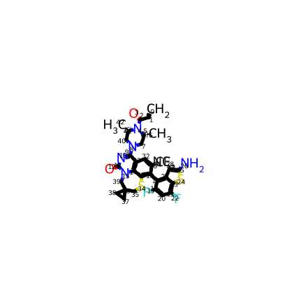 C=CC(=O)N1[C@H](C)CN(c2nc(=O)n3c4c(c(-c5c(F)cc(F)c6sc(N)c(C#N)c56)c(C(F)(F)F)cc24)SCC2(CC2)C3)C[C@@H]1C